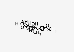 COC(=O)c1ccc(CCn2c(C)nc3nc(C(=O)C(C)(C)C)cc-3c2O)cc1